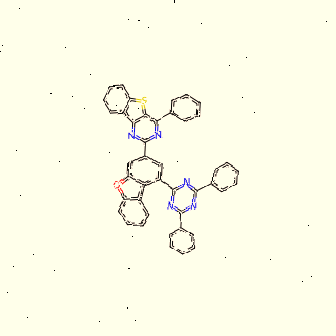 c1ccc(-c2nc(-c3ccccc3)nc(-c3cc(-c4nc(-c5ccccc5)c5sc6ccccc6c5n4)cc4oc5ccccc5c34)n2)cc1